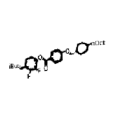 CCCCCCCC[C@H]1CC[C@H](COc2ccc(C(=O)Oc3ccc(C[C@@H](C)CC)c(F)c3F)cc2)CC1